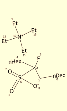 CCCCCCCCCCCC(F)(CCCCCC)S(=O)(=O)[O-].CC[N+](CC)(CC)CC